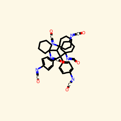 O=C=Nc1ccc(C(c2ccc(N=C=O)cc2)(C(C2(N=C=O)CCCCC2)C2(N=C=O)CCCCC2)C2(N=C=O)CCC(N=C=O)CC2)cc1